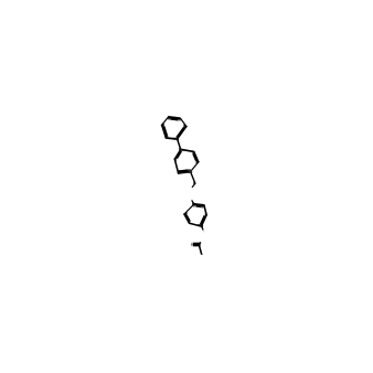 CC(=O)Oc1ccc(OCc2ccc(-c3ccccc3)cc2)cc1